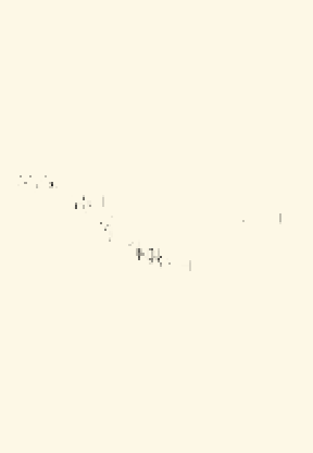 CN[C@@H](CCCCNC(=O)[C@@H](N)CCCCNC(=O)[C@@H](N)CCCCNC(=O)CC[C@H](NC(=O)CCCCCCCCCCCCCCCCC(=O)O)C(=O)O)C(C)=O